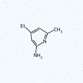 CCc1cc(C)nc(N)c1